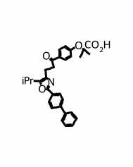 CC(C)c1oc(-c2ccc(-c3ccccc3)cc2)nc1CCC(=O)c1ccc(OC(C)(C)C(=O)O)cc1